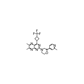 Cc1cc([C@@H]2CN(c3nc(C4CC(C(F)(F)F)C4)c4nc(C)c(C)nc4n3)CCO2)ccn1